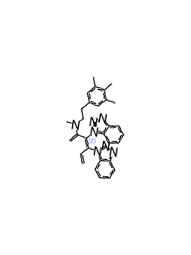 C=C/C(=C(\C(=C)N(C)CCc1cc(C)c(C)c(C)c1)n1nnc2ccccc21)n1nnc2ccccc21